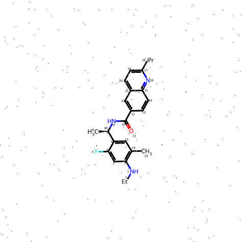 CCNc1cc(F)c([C@@H](C)NC(=O)c2ccc3nc(C(C)C)ccc3c2)cc1C